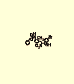 Cc1c(CC(c2c[nH]c3cc(Br)ccc23)[N+](=O)[O-])cccc1NC(=O)OCc1ccccc1